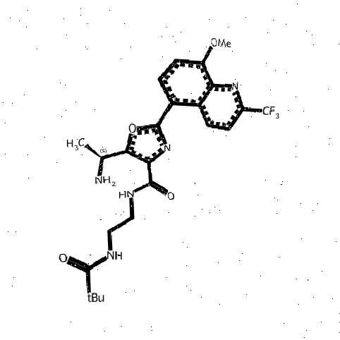 COc1ccc(-c2nc(C(=O)NCCNC(=O)C(C)(C)C)c([C@H](C)N)o2)c2ccc(C(F)(F)F)nc12